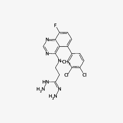 CN(CC/C(=N/N)NN)c1ncnc2c(F)ccc(-c3ccc(Cl)c(Cl)c3)c12